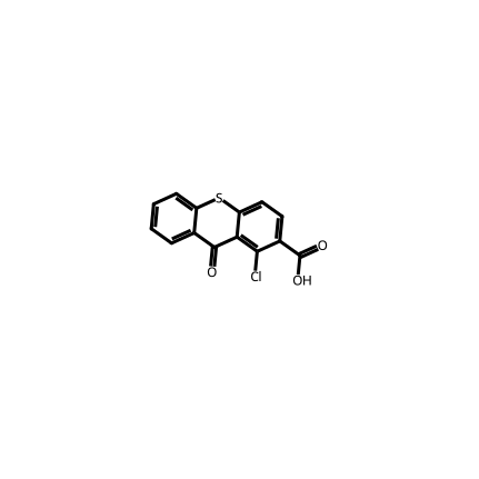 O=C(O)c1ccc2sc3ccccc3c(=O)c2c1Cl